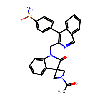 COC(=O)N1CC2(C1)C(=O)N(Cc1ncc3ccccc3c1-c1ccc([S+](N)[O-])cc1)c1ccccc12